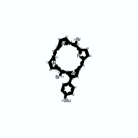 CC(C)(C)c1ccc(-c2cc3cc4nc(c(Br)c5ccc(cc6nc(c(Br)c2[nH]3)C=C6)[nH]5)C=C4)cc1